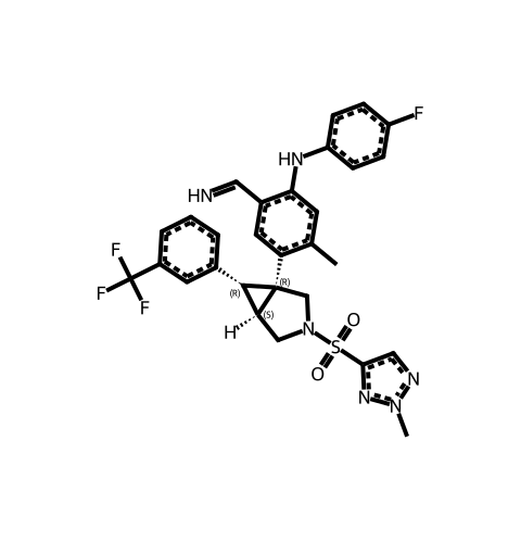 Cc1cc(Nc2ccc(F)cc2)c(C=N)cc1[C@]12CN(S(=O)(=O)c3cnn(C)n3)C[C@H]1[C@@H]2c1cccc(C(F)(F)F)c1